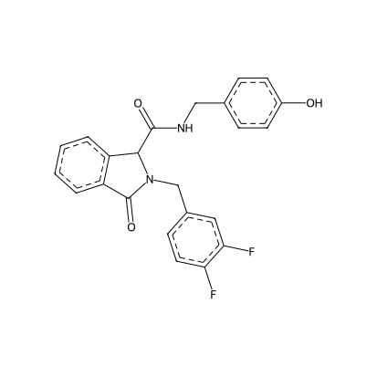 O=C(NCc1ccc(O)cc1)C1c2ccccc2C(=O)N1Cc1ccc(F)c(F)c1